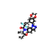 CC(C)[C@H](NC(=O)C(C)(F)F)[C@@H](C)Oc1ccc2c(cnn2-c2ccc3c(c2)OCCO3)c1